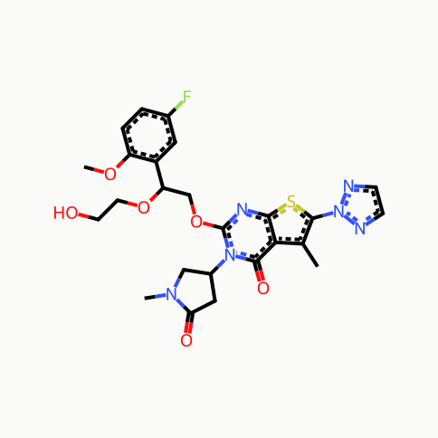 COc1ccc(F)cc1C(COc1nc2sc(-n3nccn3)c(C)c2c(=O)n1C1CC(=O)N(C)C1)OCCO